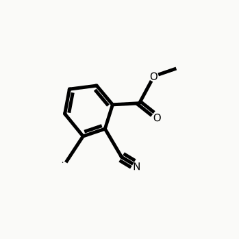 [CH2]c1cccc(C(=O)OC)c1C#N